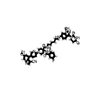 CCOc1cc(-c2ccc(N3CCC(NC(=O)c4cc(F)ccc4F)(C(=O)NCCCCCCNc4ccc5c(N6CCC(=O)NC6=O)nn(C)c5c4)CC3)nc2)c2c(C#N)cnn2c1